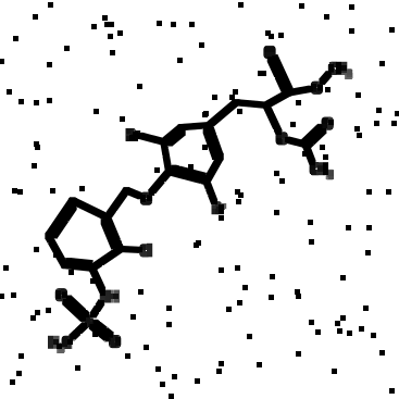 COC(=O)C(Cc1cc(Br)c(OCc2cccc(NS(C)(=O)=O)c2Cl)c(Br)c1)OC(C)=O